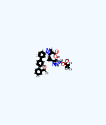 COC(=O)c1cnn(-c2cccc(-c3cccc(O[C@@H](C)C4CCCCC4)c3)c2)c1[C@@H]1C[C@H]1c1cn(COC(=O)C(C)(C)C)nn1